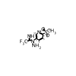 CS(=O)(=O)c1ccc(N(N)C(=N)C(F)(F)F)cn1